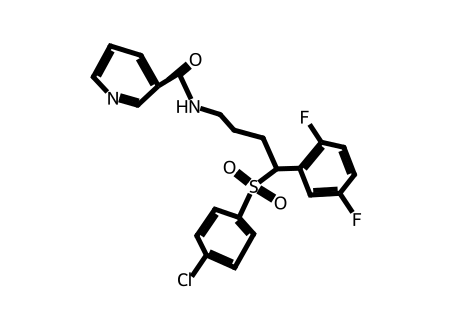 O=C(NCCCC(c1cc(F)ccc1F)S(=O)(=O)c1ccc(Cl)cc1)c1cccnc1